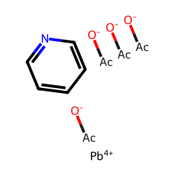 CC(=O)[O-].CC(=O)[O-].CC(=O)[O-].CC(=O)[O-].[Pb+4].c1ccncc1